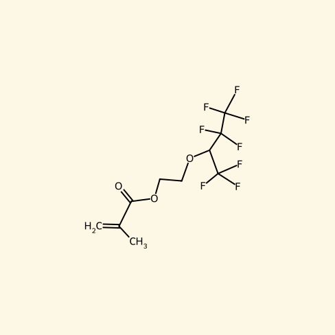 C=C(C)C(=O)OCCOC(C(F)(F)F)C(F)(F)C(F)(F)F